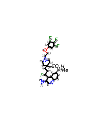 COc1ccc2ncc(N(C)C)c([C@H](F)CCC3(CC(=O)O)CCN(CCOc4cc(F)c(F)c(F)c4)CC3)c2c1